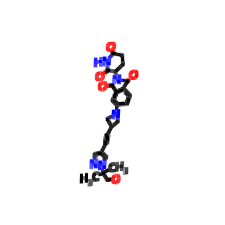 CC(C)(C=O)n1cc(C#CC2CN(c3ccc4c(c3)C(=O)N(C3CCC(=O)NC3=O)C4=O)C2)cn1